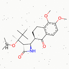 COc1ccc2c(c1OC)CC[C@H]([C@H]1NC(=O)[C@@H]1[C@@](C)(O[SiH](C)C)C(C)(C)C)C2=O